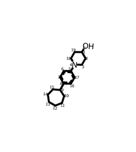 OC1CCN(c2ccc(C3CCCCCC3)cc2)CC1